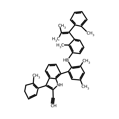 C#Cc1[nH]c2c(-c3cc(C)cc(C)c3Bc3cccc(C(=C(C)C)c4ccccc4C)c3C)cccc2c1C1=C(C)CCC=C1